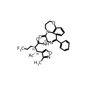 CC(=O)[C@@H](c1conc1C)[C@@H](CCC(F)(F)F)C(=O)N[C@H]1N=C(c2ccccc2)c2cccc3c2N(CCCO3)C1=O